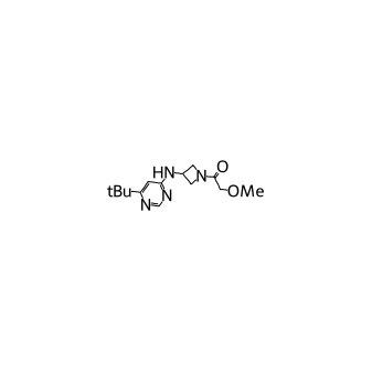 COCC(=O)N1CC(Nc2cc(C(C)(C)C)ncn2)C1